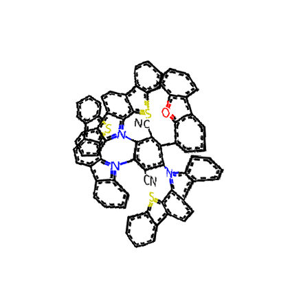 N#Cc1c(-c2cccc3c2oc2ccccc23)c(-n2c3ccccc3c3ccc4c5ccccc5sc4c32)c(C#N)c(-n2c3ccccc3c3ccc4c5ccccc5sc4c32)c1-n1c2ccccc2c2ccc3c4ccccc4sc3c21